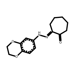 O=C1CCCCC/C1=N\Nc1ccc2c(c1)OCCO2